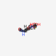 C/C(=C(/C#N)C(=O)NC[C@H]1OSC[C@@H](O)[C@@H]1O)c1ccc(-c2ccc3cc(NCCN4CCOCC4)ccc3c2)o1